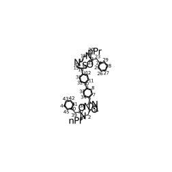 CCCN(Cc1nc(-c2ccc(-c3ccc(-c4cnc(CN(CCC)C(=O)Cc5ccccc5)s4)cc3)cc2)no1)C(=O)Cc1ccccc1